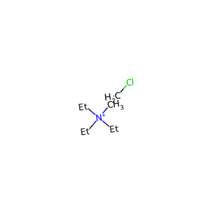 CC[N+](C)(CC)CC.[CH2]Cl